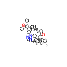 CC1(C)c2cc(N(c3ccc4c(c3)C(C)(C)c3c5c(c6oc7ccccc7c6c3-4)-c3ccccc3C5(C)C)c3ncccn3)ccc2-c2c1cc(-c1ccccc1)c1oc3ccccc3c21